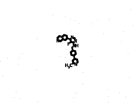 Cc1cc(-c2ccc(CNc3ncnc(-c4ccc5ccncc5c4)c3F)cc2)ccn1